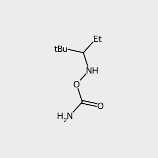 CCC(NOC(N)=O)C(C)(C)C